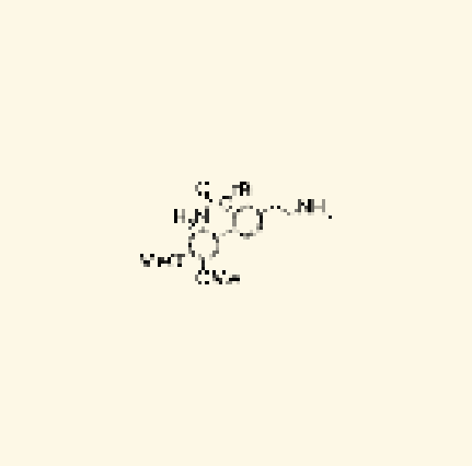 CC(C)(C)OC(N)=O.COc1ccc(-c2ccc(CCN)cc2)cc1OC